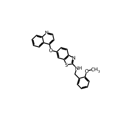 COc1ccccc1CNc1nc2ccc(Oc3ccnc4ccccc34)cc2s1